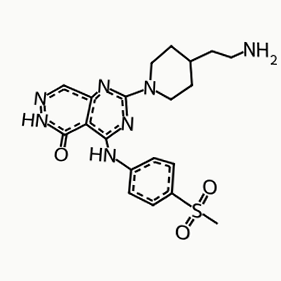 CS(=O)(=O)c1ccc(Nc2nc(N3CCC(CCN)CC3)nc3cn[nH]c(=O)c23)cc1